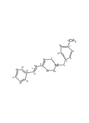 Cc1ccc(CN2CC=C(/C=C/c3ccccc3)CC2)cc1